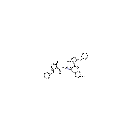 O=C(C/C=C/[C@H](Cc1ccc(F)cc1)C(=O)N1C(=O)OC[C@@H]1Cc1ccccc1)N1C(=O)OC[C@@H]1Cc1ccccc1